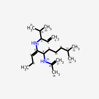 C=CC(N/C(=C/CC)C(CCCC(C)C)NC(=C)C)C(C)C